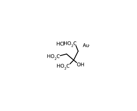 Cl.O=C(O)CC(O)(CC(=O)O)C(=O)O.[Au]